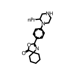 CCCC1CNCCN1c1ccc(C2=NC3(CCCCC3)C(=O)O2)cc1